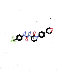 O=C(Nc1ccc(C(F)(F)F)cc1)N[C@@H]1CCCN(c2ccc(C3CCOCC3)cc2)C1=O